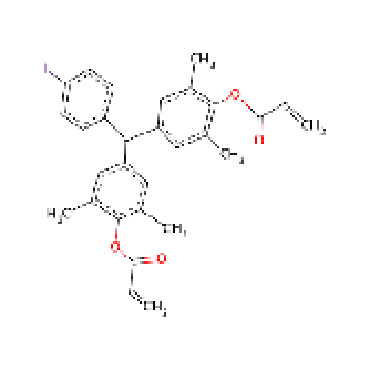 C=CC(=O)Oc1c(C)cc(C(c2ccc(I)cc2)c2cc(C)c(OC(=O)C=C)c(C)c2)cc1C